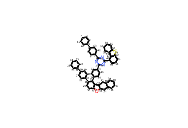 c1ccc(-c2ccc(-c3nc(-c4ccc(-c5c(-c6ccc(-c7ccccc7)cc6)ccc6oc7cc8ccccc8cc7c56)cc4)nc(-c4cccc5sc6ccccc6c45)n3)cc2)cc1